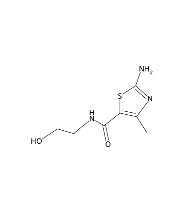 Cc1nc(N)sc1C(=O)NCCO